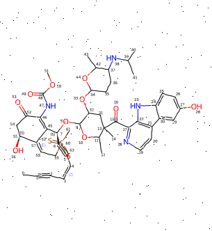 CC#C/C=C\C#C[C@H](OC1OC(C)C(C)(C(=O)c2nccc3c2[nH]c2ccc(O)cc23)CC1OC1CCC(NC(C)C)C(C)O1)C1=C(NC(=O)OC)C(=O)C[C@H](O)/C1=C/CS(C)(=S)=S